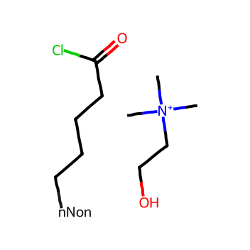 CCCCCCCCCCCCCC(=O)Cl.C[N+](C)(C)CCO